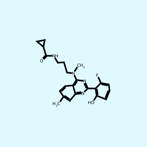 Cc1ccc2c(N(C)CCCNC(=O)C3CC3)nc(-c3c(O)cccc3F)nc2c1